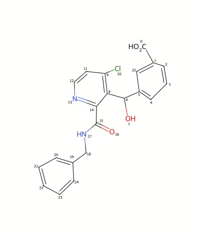 O=C(O)c1cccc(C(O)c2c(Cl)ccnc2C(=O)NCc2ccccc2)c1